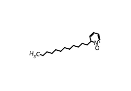 CCCCCCCCCCCCC1C=CC=C[N+]1=O